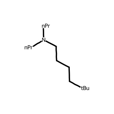 CCCN(CCC)CCCCC(C)(C)C